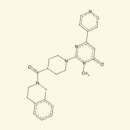 Cn1c(N2CCC(C(=O)N3CCc4ccccc4C3)CC2)nc(-c2ccncc2)cc1=O